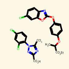 CCOC(=O)C(C)Oc1ccc(Oc2nc3ccc(Cl)cc3o2)cc1.O=C(O)c1nc(C(Cl)(Cl)Cl)n(-c2ccc(Cl)cc2Cl)n1